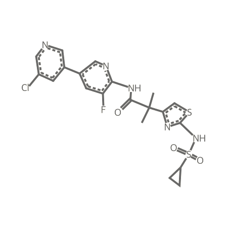 CC(C)(C(=O)Nc1ncc(-c2cncc(Cl)c2)cc1F)c1csc(NS(=O)(=O)C2CC2)n1